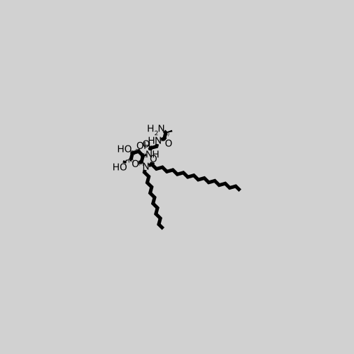 CCCCCCCCCCCCCCCCCC(=O)N(CCCCCCCCCCCC)[C@@H]1O[C@H](CO)[C@H](O)[C@H](O)[C@H]1NC(=O)CNC(=O)[C@H](C)N